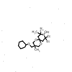 CCC1(CC)CC2(CC(C)(C)N1O)OCC(C)(COC1CCCCC1)CO2